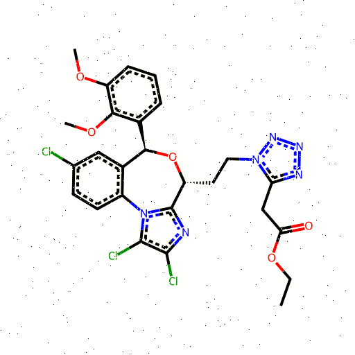 CCOC(=O)Cc1nnnn1CC[C@H]1O[C@H](c2cccc(OC)c2OC)c2cc(Cl)ccc2-n2c1nc(Cl)c2Cl